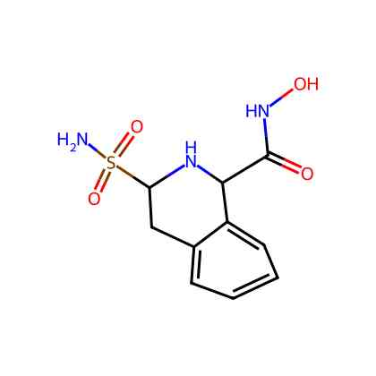 NS(=O)(=O)C1Cc2ccccc2C(C(=O)NO)N1